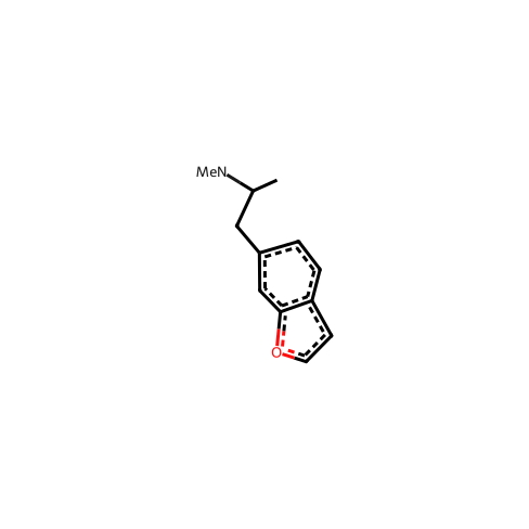 CNC(C)Cc1ccc2ccoc2c1